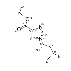 CCOC(=O)c1cn([C@@H](C)CC(C)C)cn1